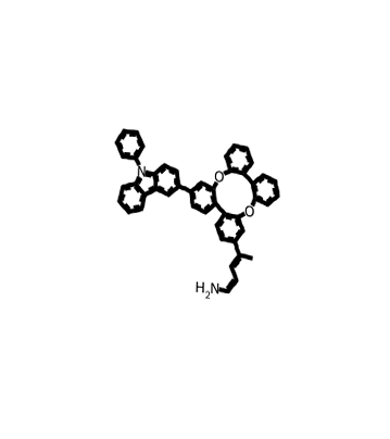 C/C(=C\C=C/N)c1ccc2c(c1)Oc1ccccc1-c1ccccc1Oc1cc(-c3ccc4c(c3)c3ccccc3n4-c3ccccc3)ccc1-2